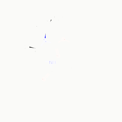 CC[C@H](CNC(=O)C(c1ccccc1)c1ccccc1)N(C(=O)OCc1ccccc1)[C@H]1C[C@H]1C(=O)O